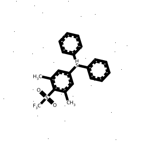 Cc1cc([SH](c2ccccc2)c2ccccc2)cc(C)c1S(=O)(=O)C(F)(F)F